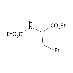 CCOC(=O)NC(CC(C)C)C(=O)OCC